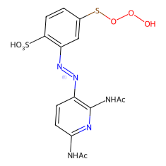 CC(=O)Nc1ccc(/N=N/c2cc(SOOO)ccc2S(=O)(=O)O)c(NC(C)=O)n1